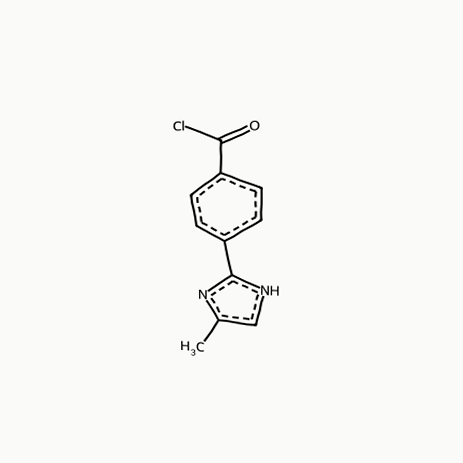 Cc1c[nH]c(-c2ccc(C(=O)Cl)cc2)n1